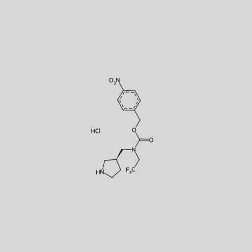 Cl.O=C(OCc1ccc([N+](=O)[O-])cc1)N(C[C@H]1CCNC1)CC(F)(F)F